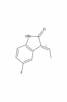 C/C=C1/C(=O)Nc2ccc(F)cc21